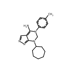 Cc1ccc(N2CN(C3CCCCCC3)C3=NN=CC3=C2N)cc1